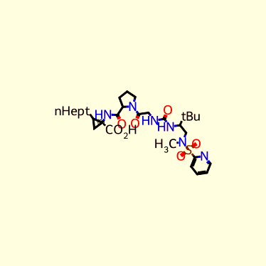 CCCCCCCC1C[C@]1(NC(=O)C1CCCN1C(=O)CNC(=O)NC(CN(C)S(=O)(=O)c1ccccn1)C(C)(C)C)C(=O)O